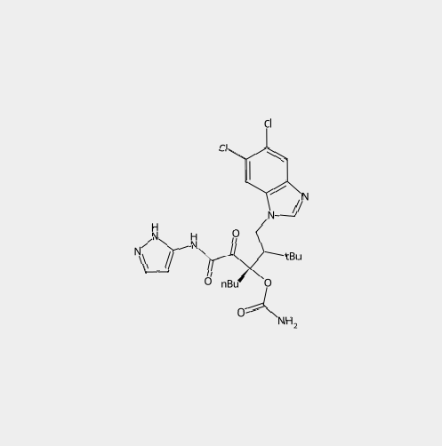 CCCC[C@@](OC(N)=O)(C(=O)C(=O)Nc1ccn[nH]1)C(Cn1cnc2cc(Cl)c(Cl)cc21)C(C)(C)C